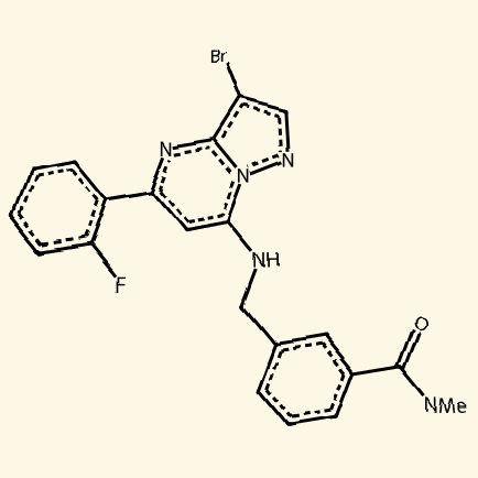 CNC(=O)c1cccc(CNc2cc(-c3ccccc3F)nc3c(Br)cnn23)c1